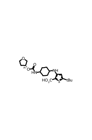 CC(C)(C)c1cc(NC2CCC(NC(=O)O[C@@H]3CCOC3)CC2)c(C(=O)O)s1